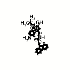 CC(C)CCN([C@H](CO)CCCCNC(=O)OCC1c2ccccc2-c2ccccc21)S(=O)(=O)c1ccc(N)cc1